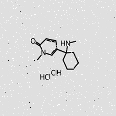 CNC1(c2ccc(=O)n(C)c2)CCCCC1.Cl.Cl